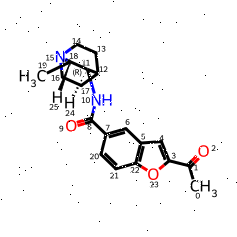 CC(=O)c1cc2cc(C(=O)N[C@@H]3C4CCN(CC4)[C@H]3C)ccc2o1